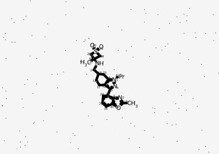 Cc1nc2c(-c3nn(C(C)C)c4c3CCC(CNC3(C)CS(=O)(=O)C3)C4)cccc2o1